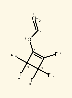 C=COC1=C(F)C(F)(F)C1(F)F